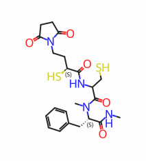 CNC(=O)[C@H](Cc1ccccc1)N(C)C(=O)C(CS)NC(=O)[C@@H](S)CCN1C(=O)CCC1=O